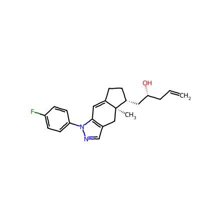 C=CC[C@@H](O)C[C@H]1CCC2=Cc3c(cnn3-c3ccc(F)cc3)C[C@@]21C